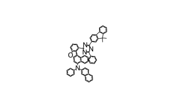 CC1(C)c2ccccc2-c2ccc(-c3nc(-c4ccccc4)nc(-c4cccc5oc6cc(N(c7ccccc7)c7ccc8ccccc8c7)c7ccccc7c6c45)n3)cc21